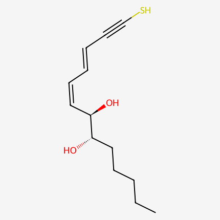 CCCCC[C@H](O)[C@H](O)/C=C\C=CC#CS